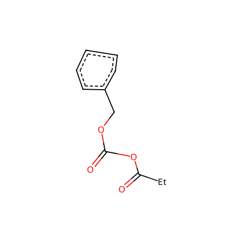 CCC(=O)OC(=O)OCc1ccccc1